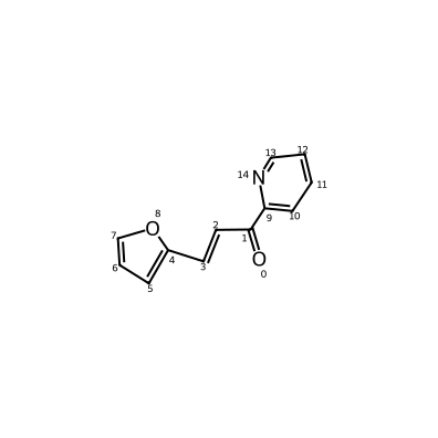 O=C(C=Cc1ccco1)c1ccccn1